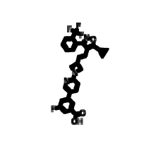 O=C(O)c1cc(F)cc(-c2ccc(N3CC(C=Cc4c(-c5ccccc5C(F)(F)F)noc4C4CC4)C3)nc2)c1